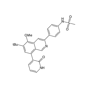 COc1c(C(C)(C)C)cc(-c2ccc[nH]c2=O)c2cnc(-c3ccc(NS(C)(=O)=O)cc3)cc12